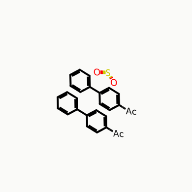 CC(=O)c1ccc(-c2ccccc2)cc1.CC(=O)c1ccc(-c2ccccc2)cc1.O=S=O